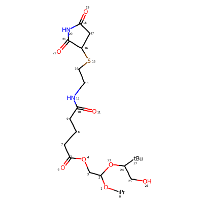 CC(C)OC(COC(=O)CCCC(=O)NCCSC1CC(=O)NC1=O)OC(CO)C(C)(C)C